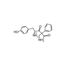 CC(=O)C(CN)(C(=O)[C@@H](N)Cc1ccc(O)cc1)c1ccccc1